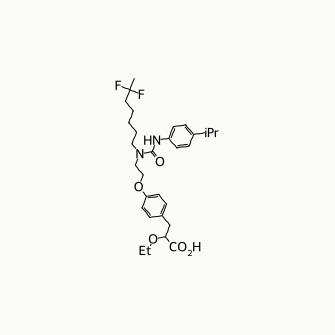 CCOC(Cc1ccc(OCCN(CCCCCC(C)(F)F)C(=O)Nc2ccc(C(C)C)cc2)cc1)C(=O)O